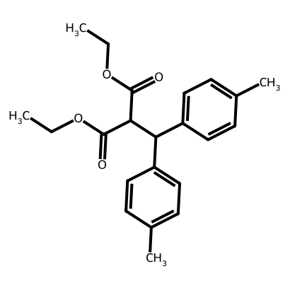 CCOC(=O)C(C(=O)OCC)C(c1ccc(C)cc1)c1ccc(C)cc1